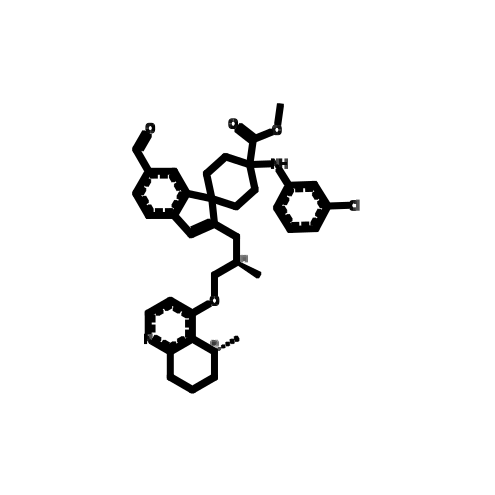 COC(=O)C1(Nc2cccc(Cl)c2)CCC2(CC1)C(C[C@@H](C)COc1ccnc3c1[C@H](C)CCC3)=Cc1ccc(C=O)cc12